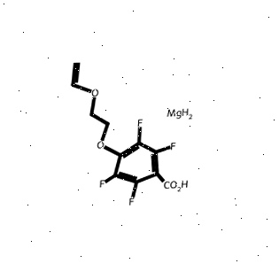 C=COCCOc1c(F)c(F)c(C(=O)O)c(F)c1F.[MgH2]